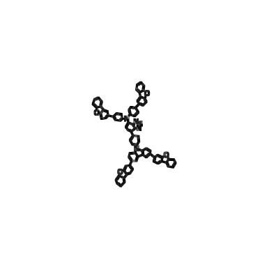 c1ccc2c(c1)oc1cc(-c3ccc4c(c3)c3cc(-c5ccc6c(c5)oc5ccccc56)ccc3n4-c3ccc(-c4ccc(N(c5ccc(-c6ccc7oc8ccccc8c7c6)cc5)c5ccc(-c6ccc7oc8ccccc8c7c6)cc5)c5nsnc45)cc3)ccc12